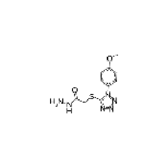 COc1ccc(-n2nnnc2SCC(=O)NN)cc1